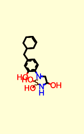 Oc1cc(CC2CC=CCC2)ccc1N1CC(O)NS1(O)O